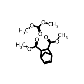 COC(=O)C1C2C=CC(C2)C1C(=O)OC.COC(=O)OC